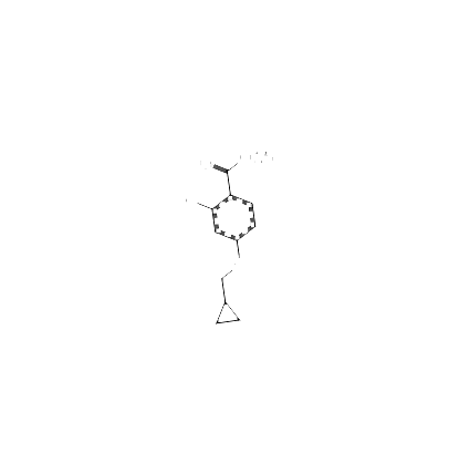 COC(=O)c1ccc(OCC2CC2)cc1C(F)(F)F